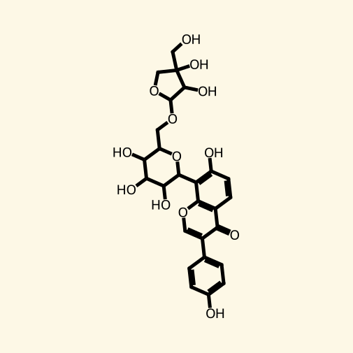 O=c1c(-c2ccc(O)cc2)coc2c(C3OC(COC4OCC(O)(CO)C4O)C(O)C(O)C3O)c(O)ccc12